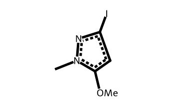 COc1cc(I)nn1C